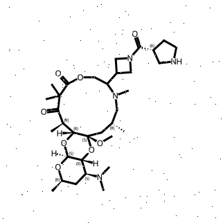 CO[C@]12C[C@@H](C)CN(C)C(C3CN(C(=O)[C@@H]4CCNC4)C3)COC(=O)C(C)(C)C(=O)[C@H](C)[C@H]1O[C@@H]1O[C@H](C)C[C@H](N(C)C)[C@H]1O2